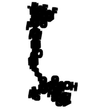 Cc1ncsc1-c1ccc(CNC(=O)[C@@H]2C[C@@H](O)CN2C(=O)[C@@H](NC(=O)C2(F)CC2)C(C)(C)C)c(OCCCCCN2CCN(CC(=O)N3CCN(c4ncc(-c5cc(NC(=O)c6ccc(F)cc6C(F)(F)F)c(N6C[C@@H](C)N(C)[C@@H](C)C6)cc5F)cn4)CC3)CC2)c1